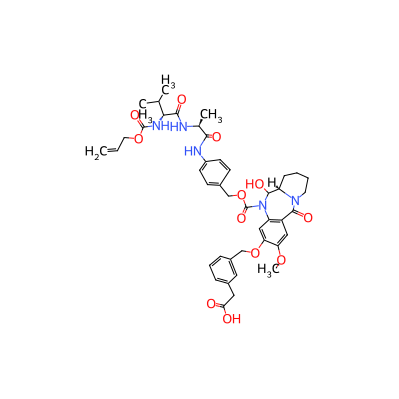 C=CCOC(=O)N[C@H](C(=O)N[C@@H](C)C(=O)Nc1ccc(COC(=O)N2c3cc(OCc4cccc(CC(=O)O)c4)c(OC)cc3C(=O)N3CCCC[C@H]3C2O)cc1)C(C)C